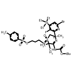 CC[Si](CC)(CC)c1cc(Br)nc([C@]2(C)CS(=O)(=NCCCOS(=O)(=O)c3ccc(C)cc3)C(C)(C)C(NC(=O)OC(C)(C)C)=N2)c1F